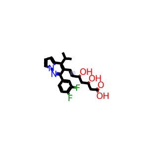 CC(C)c1c(/C=C/C(O)CC(O)CC(=O)O)c(-c2ccc(F)c(F)c2)nn2cccc12